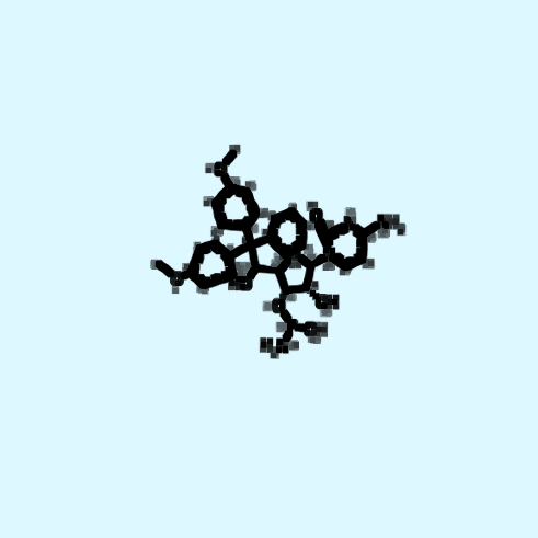 COc1ccc(C(c2ccccc2)(c2ccc(OC)cc2)C(O)[C@H]2O[C@@H](n3ccc(N)nc3=O)[C@H](O)[C@@H]2OP(N)O)cc1